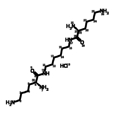 Cl.NCCCC[C@H](N)C(=O)NCCCCCCNC(=O)[C@@H](N)CCCCN